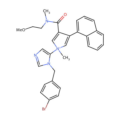 COCCN(C)C(=O)C1=C[N+](C)(c2cncn2Cc2ccc(Br)cc2)C=C1c1cccc2ccccc12